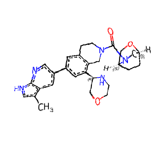 Cc1c[nH]c2ncc(-c3cc4c(c([C@@H]5COCCN5)c3)CN(C(=O)N3C[C@@H]5CC[C@H]3CO5)CC4)cc12